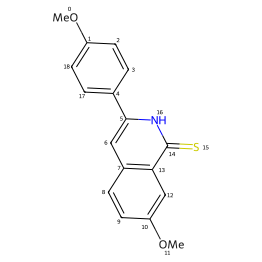 COc1ccc(-c2cc3ccc(OC)cc3c(=S)[nH]2)cc1